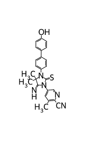 Cc1cc(N2C(=N)C(C)(C)N(c3ccc(-c4ccc(O)cc4)cc3)C2=S)cnc1C#N